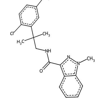 Cn1nc(C(=O)NCC(C)(C)c2cc(N)ccc2Cl)c2ccccc21